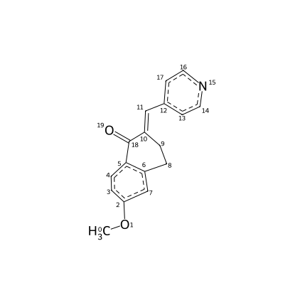 COc1ccc2c(c1)CCC(=Cc1ccncc1)C2=O